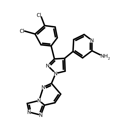 Nc1cc(-c2cn(-c3ccc4nncn4n3)nc2-c2ccc(Cl)c(Cl)c2)ccn1